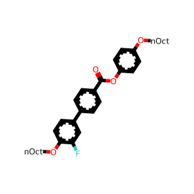 CCCCCCCCOc1ccc(OC(=O)c2ccc(-c3ccc(OCCCCCCCC)c(F)c3)cc2)cc1